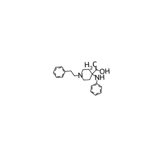 C=C(O)C1(Nc2ccccc2)CCN(CCc2ccccc2)CC1